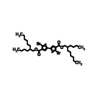 CCCCCCC(CCCC)COC(=O)c1cc(-c2cc(C(=O)OCC(CCCC)CCCCCC)c(Br)s2)sc1Br